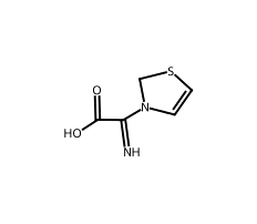 N=C(C(=O)O)N1C=CSC1